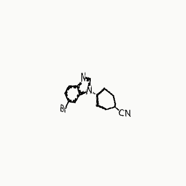 N#C[C@H]1CC[C@H](n2cnc3ccc(Br)cc32)CC1